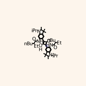 CCCCC(CC)C(=O)Nc1cc2c(cc1C1=C(O)/C(=c3\cc4c(cc3NC(=O)C(CC)CCCC)=[N+](C(C)C)C(C)C4(C)C)C1=O)C(C)(C)C(C)N2C(C)C